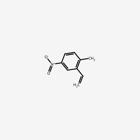 C=[C]c1cc([N+](=O)[O-])ccc1C